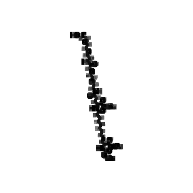 CC(C)(C)OC(=O)NC(CSCCCCCCCC(=O)NC(CCC(=O)NCCOCCOCC(=O)NCCOCCOCC(=O)O)C(=O)OC(C)(C)C)C(=O)OC(C)(C)C